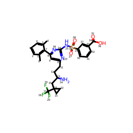 Cc1cccc(C)c1-c1cc(CCC(N)CC2(C(F)(F)F)CC2)nc(NS(=O)(=O)c2cccc(C(=O)O)c2)n1